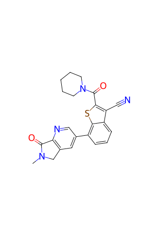 CN1Cc2cc(-c3cccc4c(C#N)c(C(=O)N5CCCCC5)sc34)cnc2C1=O